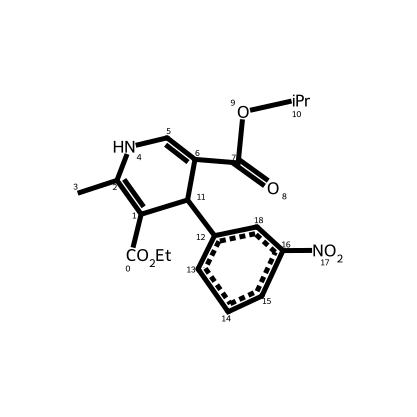 CCOC(=O)C1=C(C)NC=C(C(=O)OC(C)C)C1c1cccc([N+](=O)[O-])c1